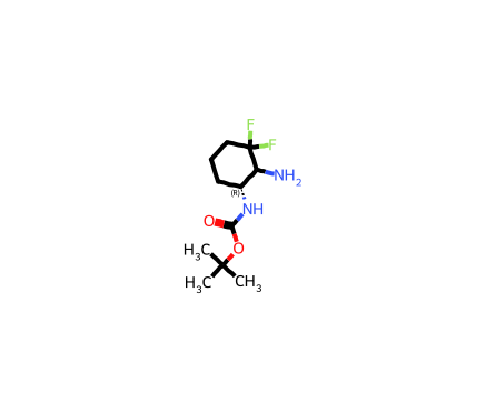 CC(C)(C)OC(=O)N[C@@H]1CCCC(F)(F)C1N